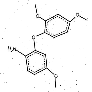 COc1ccc(N)c(Oc2ccc(OC)cc2OC)c1